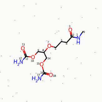 CNC(=O)CCCOC(COC(N)=O)COC(N)=O